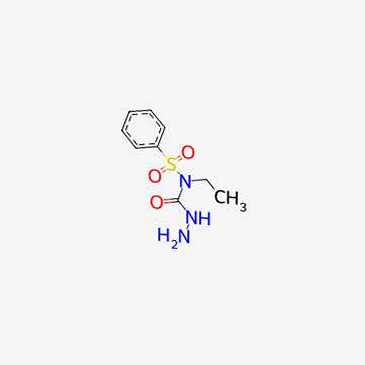 CCN(C(=O)NN)S(=O)(=O)c1ccccc1